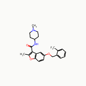 Cc1oc2ccc(OCc3ccccc3C(F)(F)F)cc2c1C(=O)NC1CCN(C)CC1